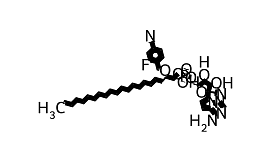 CCCCCCCCCCCCCCCCCCC[C@H](COP(=O)(O)OC[C@H]1O[C@@](C#N)(c2ccc3c(N)ncnn23)[C@H](O)[C@@H]1O)OCc1ccc(C#N)cc1F